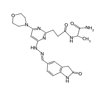 CC(NC(=O)CCc1nc(NN=Cc2ccc3c(c2)CC(=O)N3)cc(N2CCOCC2)n1)C(N)=O